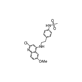 COc1ccc2nc(Cl)cc(NCCc3ccc(NS(C)(=O)=O)cc3)c2c1